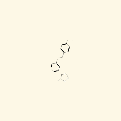 Cc1ccc(COc2cncc([C@@H]3CCCN3C)c2)cc1